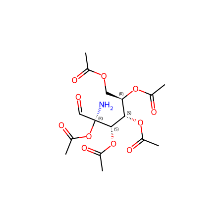 CC(=O)OC[C@@H](OC(C)=O)[C@H](OC(C)=O)[C@H](OC(C)=O)[C@](N)(C=O)OC(C)=O